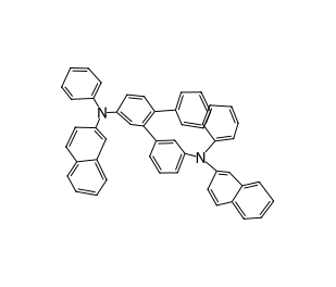 c1ccc(-c2ccc(N(c3ccccc3)c3ccc4ccccc4c3)cc2-c2cccc(N(c3ccccc3)c3ccc4ccccc4c3)c2)cc1